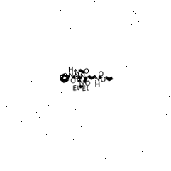 C=CCOC(=O)NCCC[C@H]1C(=O)N(C(CC)CC)C[C@H]2N1C(=O)CN(C)N2C(=O)Nc1ccccc1